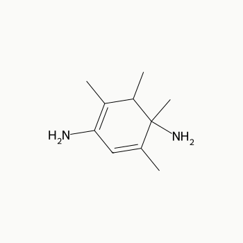 CC1=CC(N)=C(C)C(C)C1(C)N